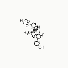 COC(=O)c1ccc2nc(Cc3ccc(-c4cccc(O)n4)cc3F)n([C@@H]3COCC3(C)C)c2c1